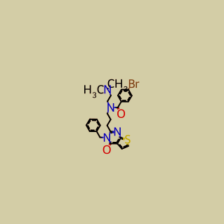 CN(C)CCN(CCCc1nc2sccc2c(=O)n1Cc1ccccc1)C(=O)c1ccc(Br)cc1